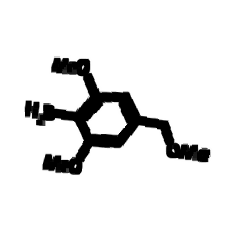 Bc1c(OC)cc(COC)cc1OC